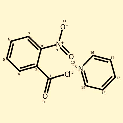 O=C(Cl)c1ccccc1[N+](=O)[O-].c1ccncc1